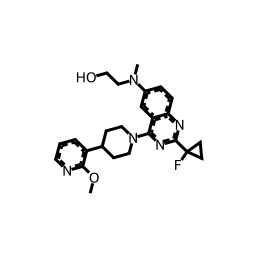 COc1ncccc1C1CCN(c2nc(C3(F)CC3)nc3ccc(N(C)CCO)cc23)CC1